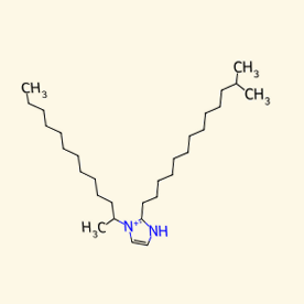 CCCCCCCCCCCC(C)[n+]1cc[nH]c1CCCCCCCCCCCC(C)C